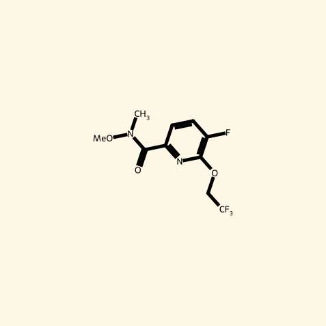 CON(C)C(=O)c1ccc(F)c(OCC(F)(F)F)n1